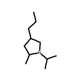 CCCC1CC(C)N(C(C)C)C1